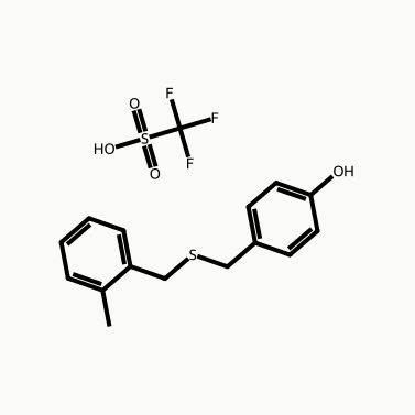 Cc1ccccc1CSCc1ccc(O)cc1.O=S(=O)(O)C(F)(F)F